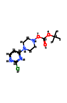 CC(C)(C)OC(=O)ON1CCN(c2ccnc(Cl)n2)CC1